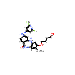 COc1cc2c(cc1OCCCCO)Nc1cc(Nc3cc(F)nc(F)c3)ccc1C(=O)N2